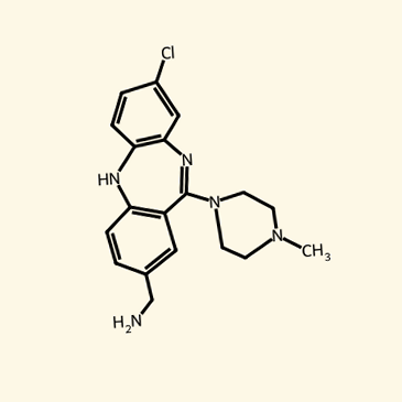 CN1CCN(C2=Nc3cc(Cl)ccc3Nc3ccc(CN)cc32)CC1